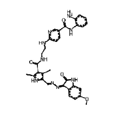 COc1ccc2c(c1)NC(=O)/C2=N\N=C\c1[nH]c(C)c(C(=O)NCCNc2ccc(C(=O)Nc3ccccc3N)cn2)c1C